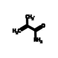 [CH2]C(=C)C(N)=O